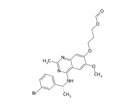 COc1cc2c(N[C@H](C)c3cccc(Br)c3)nc(C)nc2cc1OCCCOC=O